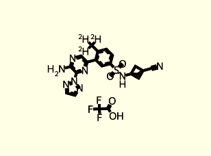 O=C(O)C(F)(F)F.[2H]C([2H])([2H])c1ccc(S(=O)(=O)NC23CC(C#N)(C2)C3)cc1-c1cnc(N)c(-n2nccn2)n1